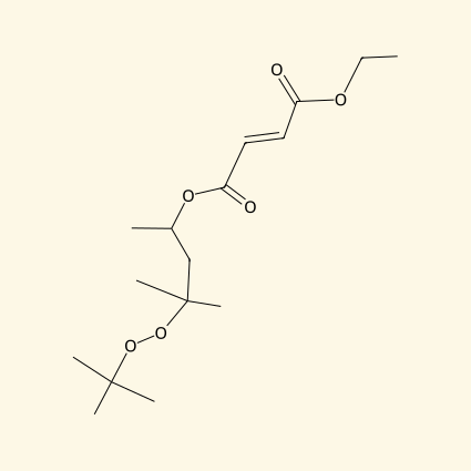 CCOC(=O)/C=C/C(=O)OC(C)CC(C)(C)OOC(C)(C)C